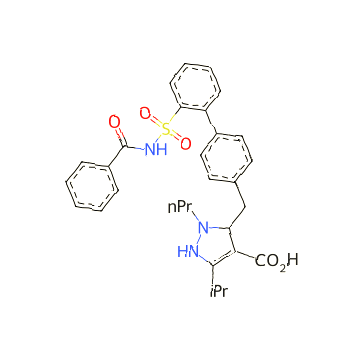 CCCN1NC(C(C)C)=C(C(=O)O)C1Cc1ccc(-c2ccccc2S(=O)(=O)NC(=O)c2ccccc2)cc1